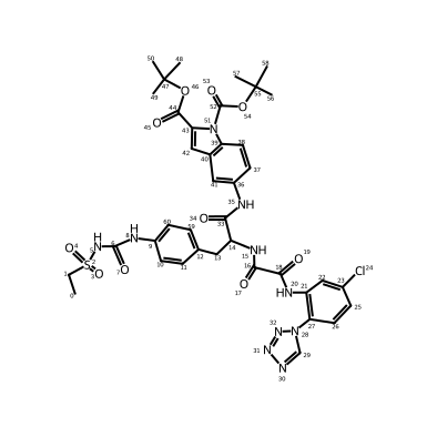 CCS(=O)(=O)NC(=O)Nc1ccc(CC(NC(=O)C(=O)Nc2cc(Cl)ccc2-n2cnnn2)C(=O)Nc2ccc3c(c2)cc(C(=O)OC(C)(C)C)n3C(=O)OC(C)(C)C)cc1